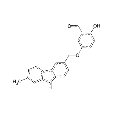 Cc1ccc2c(c1)[nH]c1ccc(COc3ccc(O)c(C=O)c3)cc12